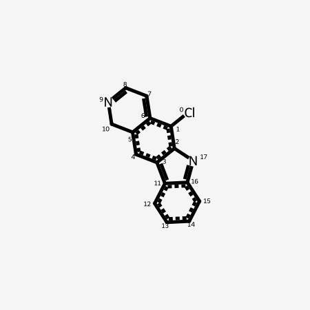 Clc1c2c(cc3c1=CC=NC3)=c1ccccc1=N2